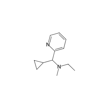 CCN(C)C(c1ccccn1)C1CC1